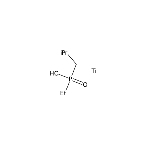 CCP(=O)(O)CC(C)C.[Ti]